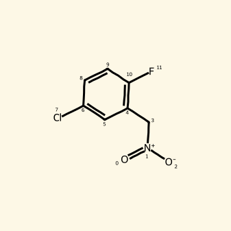 O=[N+]([O-])Cc1cc(Cl)ccc1F